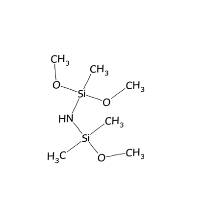 CO[Si](C)(C)N[Si](C)(OC)OC